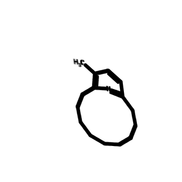 Cc1ccc2nc1CCCCCCCCC2